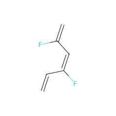 C=C/C(F)=C\C(=C)F